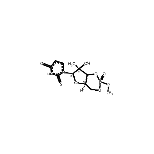 COP1(=O)OC[C@H]2O[C@@H](n3ccc(=O)[nH]c3=S)[C@](C)(O)C2O1